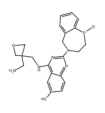 [CH]c1ccc2nc(N3CC[S+]([O-])c4ccccc4C3)nc(NCC3(CN)COC3)c2c1